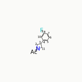 CC(=O)N1CC(c2cccc(F)c2)C1